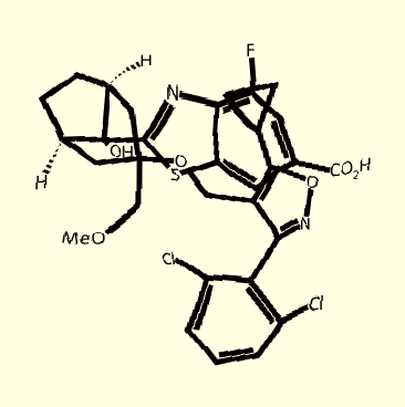 COCC1(OCc2c(-c3c(Cl)cccc3Cl)noc2C2CC2)C[C@H]2CC[C@@H](C1)[C@@]2(O)c1nc2c(F)cc(C(=O)O)cc2s1